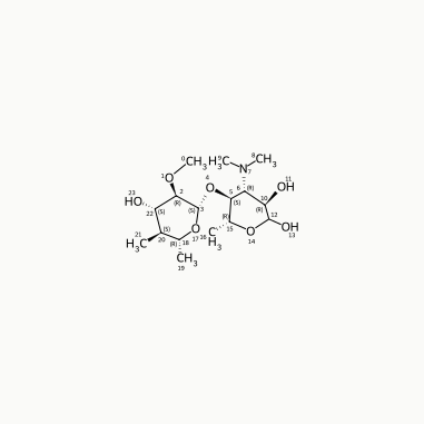 CO[C@H]1[C@H](O[C@H]2[C@H](N(C)C)[C@@H](O)C(O)O[C@@H]2C)O[C@H](C)[C@@H](C)[C@@H]1O